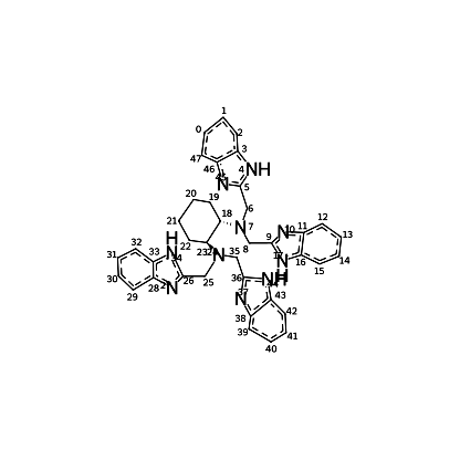 c1ccc2[nH]c(CN(Cc3nc4ccccc4[nH]3)[C@H]3CCCC[C@@H]3N(Cc3nc4ccccc4[nH]3)Cc3nc4ccccc4[nH]3)nc2c1